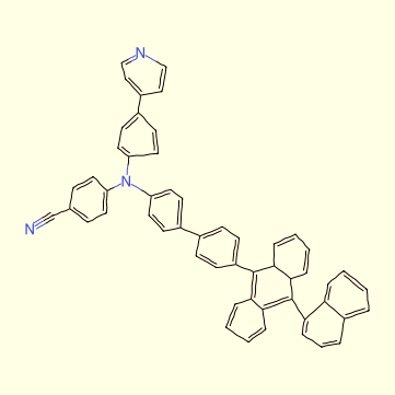 N#Cc1ccc(N(c2ccc(-c3ccncc3)cc2)c2ccc(-c3ccc(C4=c5ccccc5=C(c5cccc6ccccc56)C5C=CC=CC45)cc3)cc2)cc1